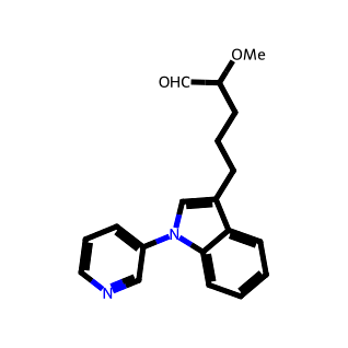 COC(C=O)CCCc1cn(-c2cccnc2)c2ccccc12